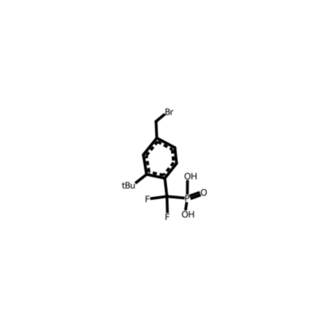 CC(C)(C)c1cc(CBr)ccc1C(F)(F)P(=O)(O)O